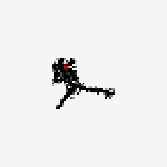 CCCCCCCCS(=O)(=O)CC(CO[C@@H]1O[C@H](COC(C)=O)[C@@H](O[C@@H]2O[C@H](COC(C)=O)[C@H](OC(C)=O)[C@H](OC(C)=O)[C@H]2OC(C)=O)[C@H](OC(C)=O)[C@H]1OC(C)=O)CS(=O)(=O)CCCCCCCCCCC(=O)OC